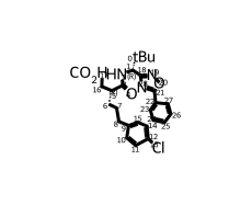 CC(C)(C)[C@@H](NC(=O)[C@H](CCCc1ccc(Cl)cc1)CC(=O)O)c1noc(-c2ccccc2)n1